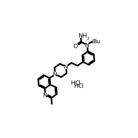 CCC(C)N(C(N)=O)c1cccc(CCN2CCN(c3cccc4nc(C)ccc34)CC2)c1.Cl.Cl